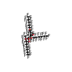 CCO[Si](C(F)(F)C(F)(F)C(F)(F)C(F)(F)C(F)(F)C(F)(F)C(F)(F)C(F)(F)F)(C(F)(F)C(F)(F)C(F)(F)C(F)(F)C(F)(F)C(F)(F)C(F)(F)C(F)(F)F)C(F)(F)C(F)(F)C(F)(F)C(F)(F)C(F)(F)C(F)(F)C(F)(F)C(F)(F)F